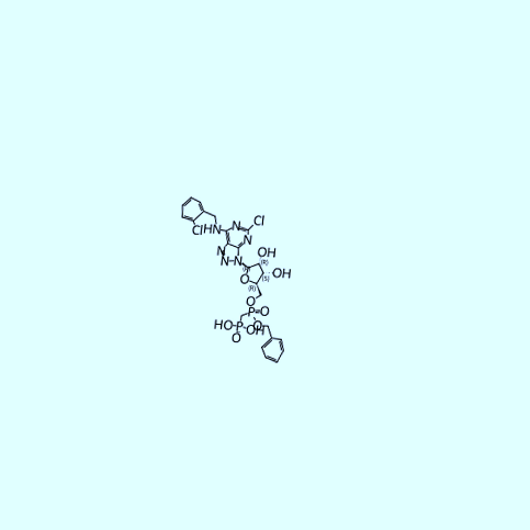 O=P(O)(O)CP(=O)(OCc1ccccc1)OC[C@H]1O[C@@H](n2nnc3c(NCc4ccccc4Cl)nc(Cl)nc32)[C@H](O)[C@@H]1O